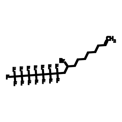 C=CCCCCCCC(Br)CC(F)(F)C(F)(F)C(F)(F)C(F)(F)C(F)(F)C(F)(F)C(F)(F)F